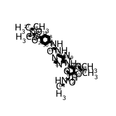 CCNC(=O)[C@H]1O[C@@H](n2cnc3c(NC(=O)Nc4ccc(S(=O)(=O)N(C)C(C)C)cc4)ncnc32)[C@@H]2OC(C)(C)O[C@@H]21